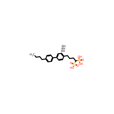 CCCCc1ccc(-c2ccc(CCCC(P(=O)(O)O)S(=O)(=O)O)cc2)cc1.[KH].[KH].[KH]